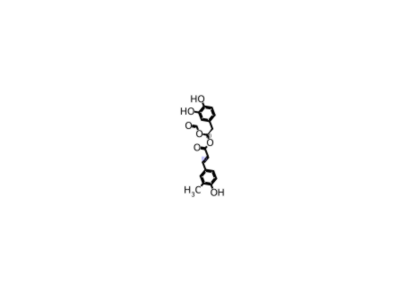 Cc1cc(/C=C/C(=O)O[C@H](Cc2ccc(O)c(O)c2)OC=O)ccc1O